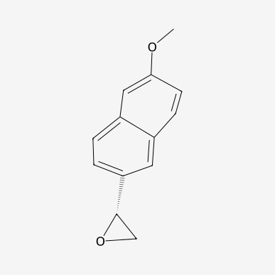 COc1ccc2cc([C@@H]3CO3)ccc2c1